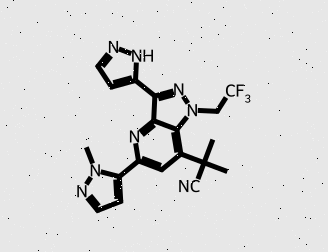 Cn1nccc1-c1cc(C(C)(C)C#N)c2c(n1)c(-c1ccn[nH]1)nn2CC(F)(F)F